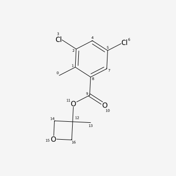 Cc1c(Cl)cc(Cl)cc1C(=O)OC1(C)COC1